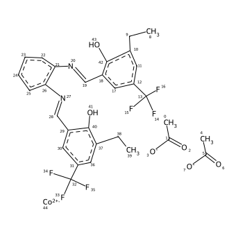 CC(=O)[O-].CC(=O)[O-].CCc1cc(C(F)(F)F)cc(C=Nc2ccccc2N=Cc2cc(C(F)(F)F)cc(CC)c2O)c1O.[Co+2]